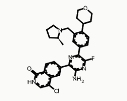 C[C@H]1CCCN1Cc1cc(-c2nc(-c3ccc4c(=O)[nH]cc(Cl)c4c3)c(N)nc2F)ccc1C1CCOCC1